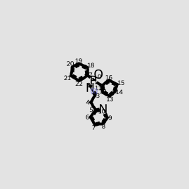 O=P(/N=C/Cc1ccccn1)(c1ccccc1)c1ccccc1